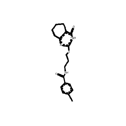 Cc1ccc(C(=O)NCCCSc2nc3c(c(=O)[nH]2)CCCC3)cc1